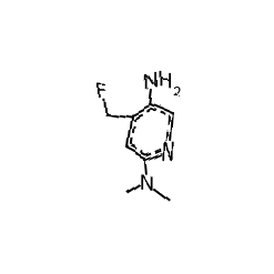 CN(C)c1cc(CF)c(N)cn1